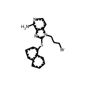 Nc1nccc2c1nc(Sc1cccc3ccccc13)n2CCCBr